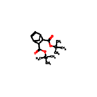 [CH3][Ge]([CH3])([CH3])[O]C(=O)C1C2C=CC(C2)C1C(=O)[O][Ge]([CH3])([CH3])[CH3]